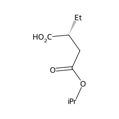 CC[C@H](CC(=O)OC(C)C)C(=O)O